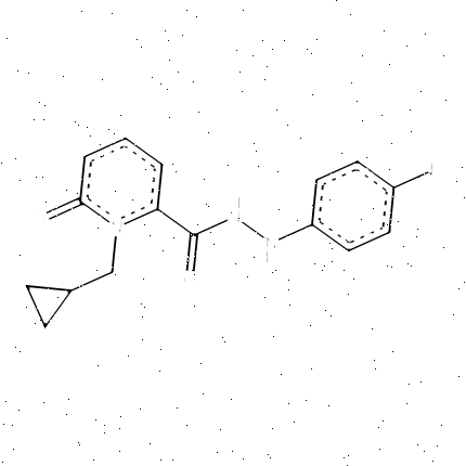 O=C(NNc1ccc(F)cc1)c1cccc(=O)n1CC1CC1